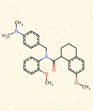 COc1ccc2c(c1)C(C(=O)N(Cc1ccc(N(C)C)cc1)c1ccccc1OC)CCC2